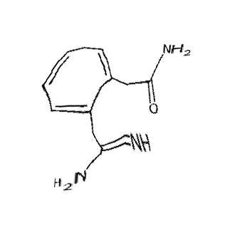 N=C(N)c1ccccc1C(N)=O